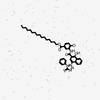 CCCCCCCCCCCCCCCCOC(=O)c1ccc(Cl)c(NC(=O)c2cc(-n3nnc(=S)n3-c3ccccc3)c3ccccc3c2O)c1